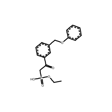 CCOP(=O)(O)CC(=O)c1cccc(COc2ccccc2)c1